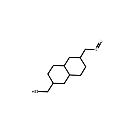 O=NCC1CCC2CC(CO)CCC2C1